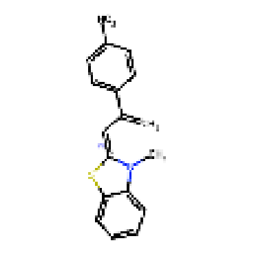 C=C(/C=C1/Sc2ccccc2N1C)c1ccc([N+](=O)[O-])cc1